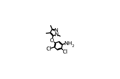 Cc1nn(C)c(Oc2cc(N)c(Cl)cc2Cl)c1C